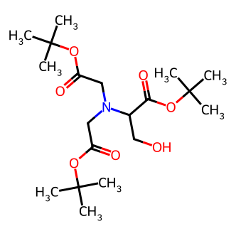 CC(C)(C)OC(=O)CN(CC(=O)OC(C)(C)C)C(CO)C(=O)OC(C)(C)C